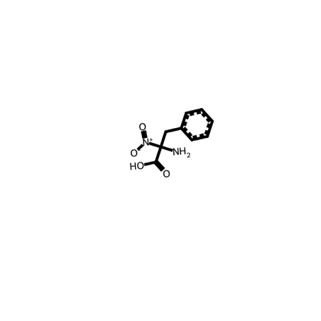 NC(Cc1ccccc1)(C(=O)O)[N+](=O)[O-]